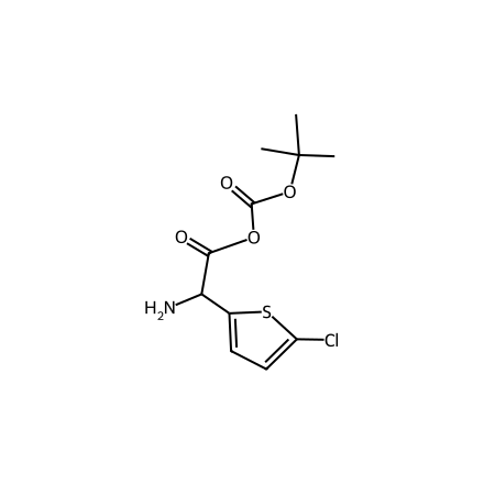 CC(C)(C)OC(=O)OC(=O)C(N)c1ccc(Cl)s1